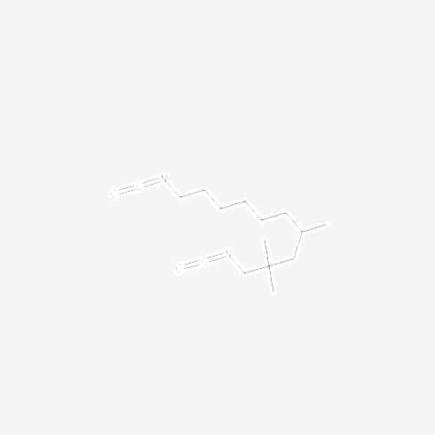 CC(CCCCCCN=C=O)CC(C)(C)CN=C=O